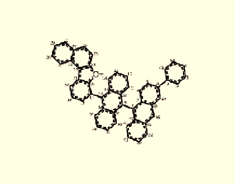 c1ccc(-c2ccc3c(-c4c5ccccc5c(-c5cccc6c5oc5ccc7ccccc7c56)c5ccccc45)c4ccccc4cc3c2)cc1